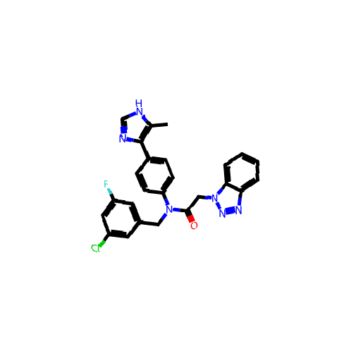 Cc1[nH]cnc1-c1ccc(N(Cc2cc(F)cc(Cl)c2)C(=O)Cn2nnc3ccccc32)cc1